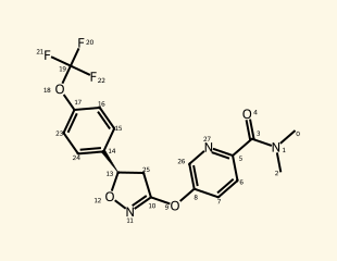 CN(C)C(=O)c1ccc(OC2=NO[C@@H](c3ccc(OC(F)(F)F)cc3)C2)cn1